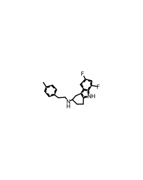 Cc1ccc(CCNC2CCc3[nH]c4c(F)cc(F)cc4c3C2)cc1